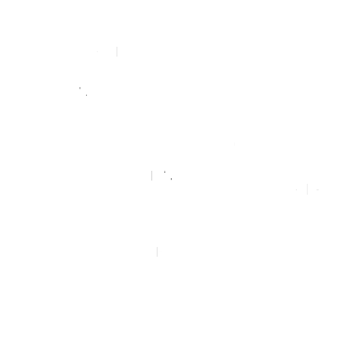 CC(NC(=O)c1cccn1C)c1c(F)cccc1Cl